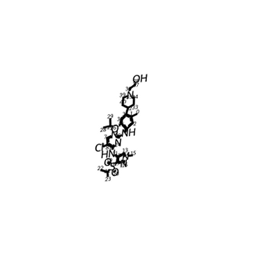 Cc1cc(Nc2ncc(Cl)c(Nc3cn(C)nc3S(=O)(=O)C(C)C)n2)c(OC(C)C)cc1C1CCN(CCO)CC1